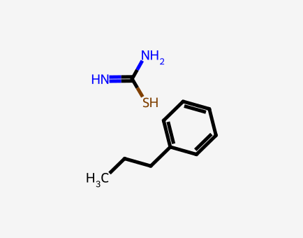 CCCc1ccccc1.N=C(N)S